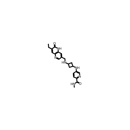 CCc1cc2ncc(CNC3CC(Nc4ccc(C(=O)NC)nc4)C3)cc2[nH]c1=O